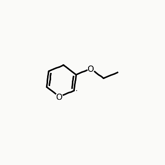 CCOC1=[C]OC=CC1